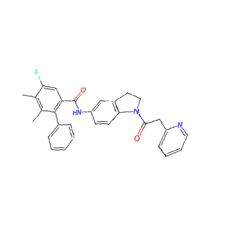 Cc1c(F)cc(C(=O)Nc2ccc3c(c2)CCN3C(=O)Cc2ccccn2)c(-c2ccccc2)c1C